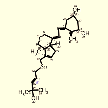 C=C1C(=CC=C2CCC[C@]3(C)C(CSC/C=C/C(C)(C)O)=CC[C@@H]23)C[C@@H](O)C[C@@H]1O